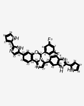 Fc1cc(F)cc([C@@H]2Oc3cc(-c4cnc(-c5ccc[nH]5)[nH]4)ccc3-c3ncc(-c4ccc5nc(-c6ccc[nH]6)[nH]c5c4)n32)c1